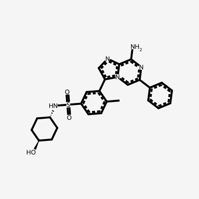 Cc1ccc(S(=O)(=O)N[C@H]2CC[C@H](O)CC2)cc1-c1cnc2c(N)nc(-c3ccccc3)cn12